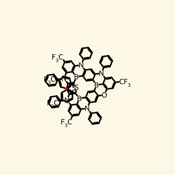 FC(F)(F)c1cc2c3c(c1)N(c1ccccc1)c1cc4c(cc1B3c1cc3c(cc1O2)N(c1ccccc1)c1cc(C(F)(F)F)cc2c1B3c1sc3ccc(C(F)(F)F)cc3c1N2c1ccccc1)B1c2sc3ccc(C(F)(F)F)cc3c2N(c2ccccc2)c2cc(C(F)(F)F)cc(c21)N4c1ccccc1